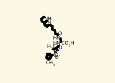 Cc1cccc([S+]([O-])N2CC(C)(C(=O)NC(CNC(=O)CCCCc3ccc4c(n3)NCCC4)C(=O)O)C2)c1